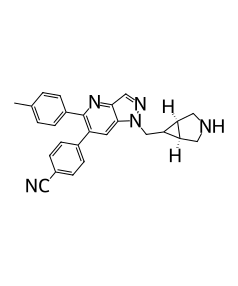 Cc1ccc(-c2nc3cnn(CC4[C@H]5CNC[C@@H]45)c3cc2-c2ccc(C#N)cc2)cc1